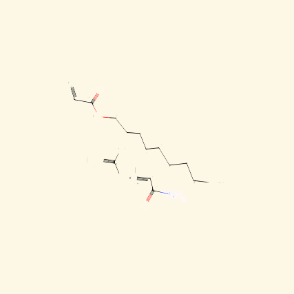 C=C(C)C(=O)O.C=CC(=O)OCCCCCCCCCCCCCCCCCC.C=CC(N)=O